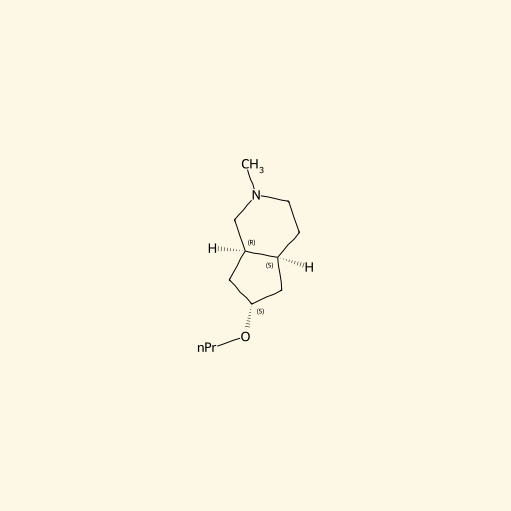 CCCO[C@H]1C[C@@H]2CCN(C)C[C@@H]2C1